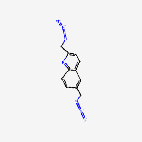 [N-]=[N+]=NCc1ccc2nc(CN=[N+]=[N-])ccc2c1